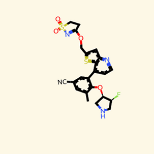 Cc1cc(C#N)cc(-c2ccnc3cc(COC4=NS(=O)(=O)CC4)sc23)c1O[C@@H]1CNC[C@@H]1F